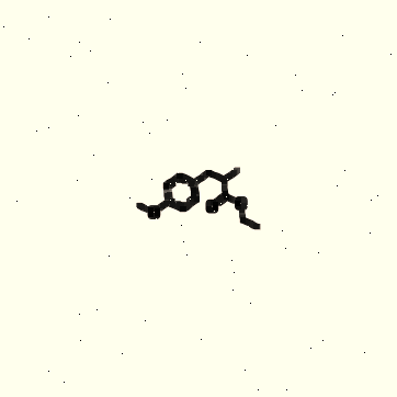 CCOC(=O)C(C)Cc1ccc(OC)cc1